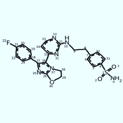 NS(=O)(=O)c1ccc(CCNc2nccc(-c3c(-c4ccc(F)cc4)nc4n3CCO4)n2)cc1